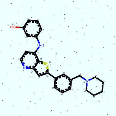 Oc1cccc(Nc2ccnc3cc(-c4cccc(CN5CCCCC5)c4)sc23)c1